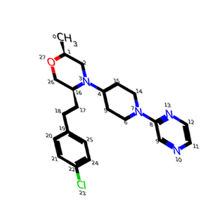 C[C@H]1CN(C2CCN(c3cnccn3)CC2)[C@@H](CCc2ccc(Cl)cc2)CO1